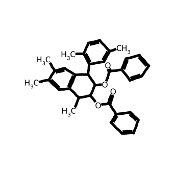 Cc1ccc(C)c(C2c3cc(C)c(C)cc3C(C)C(OC(=O)c3ccccc3)C2OC(=O)c2ccccc2)c1